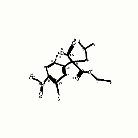 CCOC(=O)C(CC(C)C)(C(=O)O)c1cc(F)c([N+](=O)[O-])cc1F